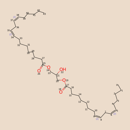 CCCCC/C=C\C/C=C\CCCCCCCC(=O)OCC(O)COC(=O)CCCCCCC/C=C\C/C=C\CCCCC